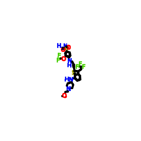 COCCN1CCC(Nc2cccc3c(CC(F)(F)F)c(C#CCNc4ccc(S(N)(=O)=O)cc4OC(F)F)sc23)CC1